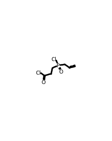 C=CCP(=O)(Cl)CCC(=O)Cl